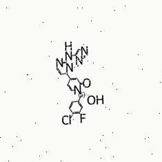 Cn1cncc1Nc1nccc(-c2ccn([C@H](CO)c3ccc(Cl)c(F)c3)c(=O)c2)n1